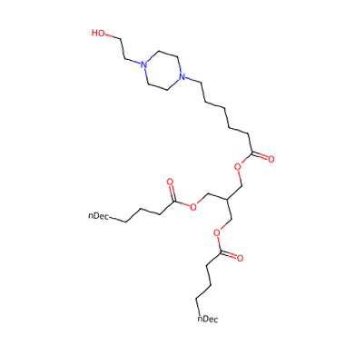 CCCCCCCCCCCCCC(=O)OCC(COC(=O)CCCCCCCCCCCCC)COC(=O)CCCCCN1CCN(CCO)CC1